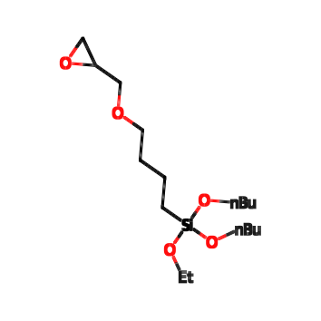 CCCCO[Si](CCCCOCC1CO1)(OCC)OCCCC